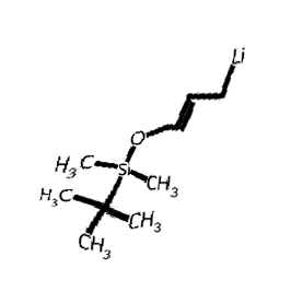 [Li][CH2]C=CO[Si](C)(C)C(C)(C)C